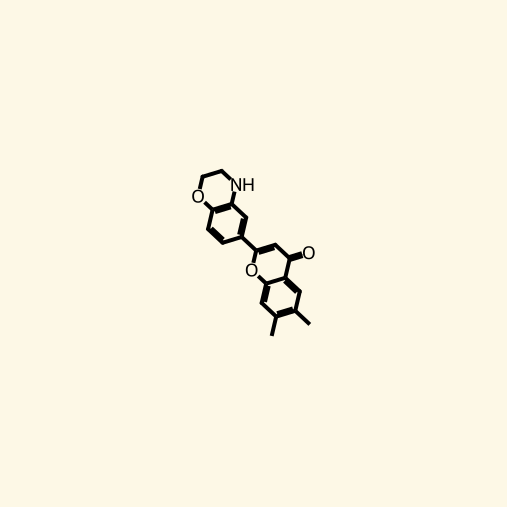 Cc1cc2oc(-c3ccc4c(c3)NCCO4)cc(=O)c2cc1C